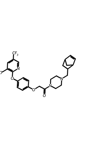 O=C(COc1ccc(Oc2ncc(C(F)(F)F)cc2Cl)cc1)N1CCN(CC2CC3C=CC2C3)CC1